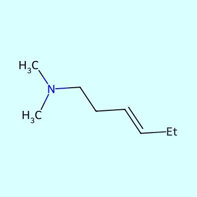 CCC=CCCN(C)C